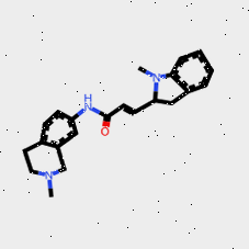 CN1CCc2ccc(NC(=O)C=CC3Cc4ccccc4N3C)cc2C1